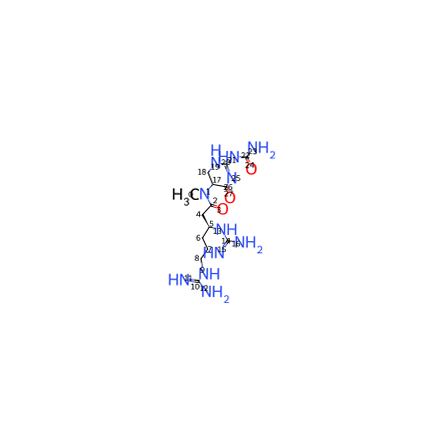 CN(C(=O)C[C@H](CCCNC(=N)N)NC(=N)N)C1CNC(NC(N)=O)=NC1=O